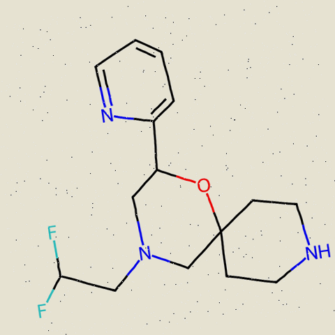 FC(F)CN1CC(c2ccccn2)OC2(CCNCC2)C1